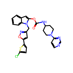 O=C(NC1CCN(c2ccncn2)CC1)Oc1cc2ccccc2n1Cc1cc(-c2ccc(Cl)s2)on1